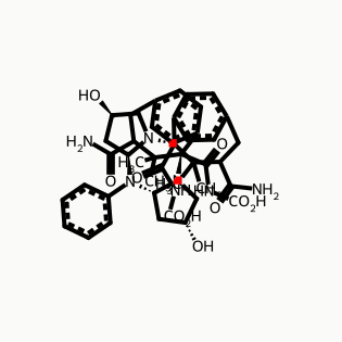 CC1(C)C(C(N)=O)Cc2ccc(cc2)[C@@]1(C(=O)NC(=O)O)N1C[C@H](O)C[C@@H]1N(c1ccccc1)[C@H]1C[C@@H](O)CN1[C@]1(C(=O)NC(=O)O)c2ccc(cc2)CC(C(N)=O)C1(C)C